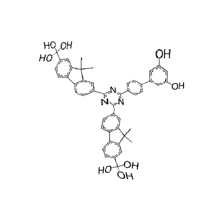 CC1(C)c2cc(-c3nc(-c4ccc(-c5cc(O)cc(O)c5)cc4)nc(-c4ccc5c(c4)C(C)(C)c4cc(C(O)(O)O)ccc4-5)n3)ccc2-c2ccc(C(O)(O)O)cc21